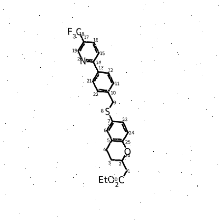 CCOC(=O)CC1CCc2cc(SCc3ccc(-c4ccc(C(F)(F)F)cn4)cc3)ccc2O1